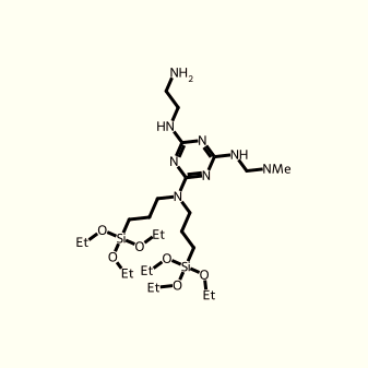 CCO[Si](CCCN(CCC[Si](OCC)(OCC)OCC)c1nc(NCCN)nc(NCNC)n1)(OCC)OCC